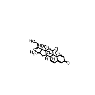 C=C1C[C@H]2[C@@H]3C=CC4=CC(=O)C=C[C@]4(C)[C@@]3(Cl)C(Cl)C[C@]2(C)[C@@]1(O)C(=O)CO